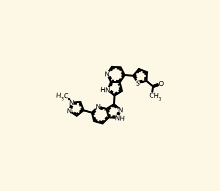 CC(=O)c1ccc(-c2ccnc3[nH]c(-c4n[nH]c5ccc(-c6cnn(C)c6)nc45)cc23)s1